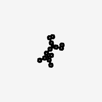 c1ccc(-c2ccc(C3(c4ccc(-c5ccccc5)cc4)c4ccccc4-c4c(-c5ccc(N(c6ccc(-c7cccc8ccccc78)cc6)c6ccc(-c7cccc8ccccc78)cc6)cc5)cccc43)cc2)cc1